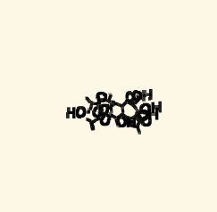 C=C(C)C(=O)OC1C(C)C2(O)C(C3OC3(CO)C(O)C3(O)C(=O)C(C)=CC32)C2C(C)(C)C12OC(=O)C(C)CO